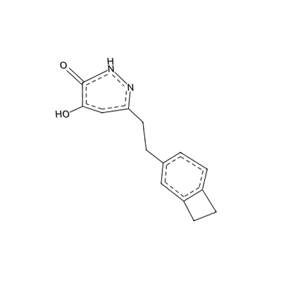 O=c1[nH]nc(CCc2ccc3c(c2)CC3)cc1O